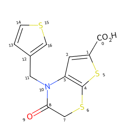 O=C(O)c1cc2c(s1)SCC(=O)N2Cc1ccsc1